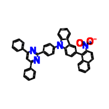 O=[N+]([O-])c1ccc2ccccc2c1-c1ccc2c(c1)c1ccccc1n2-c1ccc(-c2nc(-c3ccccc3)cc(-c3ccccc3)n2)cc1